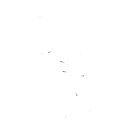 CCCC(CC[C@H]1CC[C@@H]2[C@@H](CC[C@@H](O)COc3ccccc3)[C@H](O)C[C@@H]2S1)C(=O)O